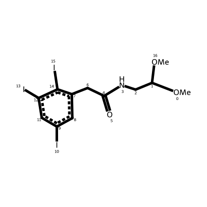 COC(CNC(=O)Cc1cc(I)cc(I)c1I)OC